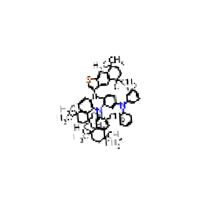 Cc1cc2c(cc1N1c3cc(N(c4ccccc4)C4C=CC=CC4)ccc3B(c3csc4cc5c(cc34)C(C)(C)CCC5(C)C)c3ccc4c(c31)C(C)(C)CCC4(C)C)C(C)(C)CCC2(C)C